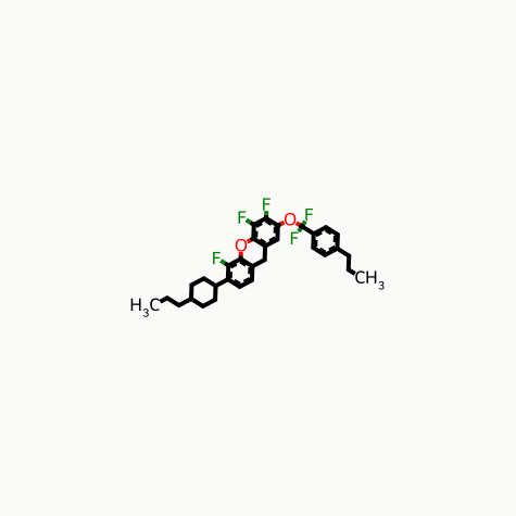 CCCc1ccc(C(F)(F)Oc2cc3c(c(F)c2F)Oc2c(ccc(C4CCC(CCC)CC4)c2F)C3)cc1